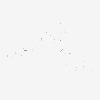 Cc1cccc(N2CCN(C(=O)Cn3nc(C(=O)N4CCC(NC(=O)CCO)CC4)c4c3CCCC4)CC2)c1C